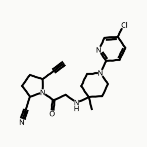 C#CC1CCC(C#N)N1C(=O)CNC1(C)CCN(c2ccc(Cl)cn2)CC1